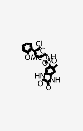 COc1ccccc1-c1ccc(NS(=O)(=O)c2cc3[nH]c(=O)c(=O)[nH]c3cc2C)cc1Cl